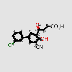 N#Cc1cc(-c2cccc(Cl)c2)cc(C(=O)CCC(=O)O)c1O